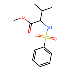 COC(=O)C(NS(=O)(=O)c1ccccc1)C(C)C